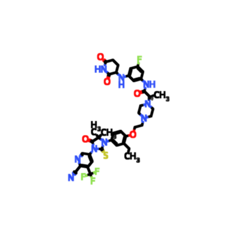 CCc1cc(N2C(=S)N(c3cnc(C#N)c(C(F)(F)F)c3)C(=O)C2(C)C)ccc1OCCN1CCN([C@H](C)C(=O)Nc2cc(F)cc(NC3CCC(=O)NC3=O)c2)CC1